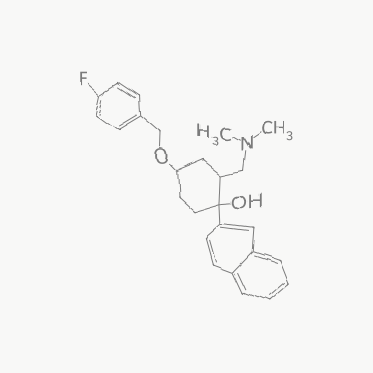 CN(C)CC1CC(OCc2ccc(F)cc2)CCC1(O)c1ccc2ccccc2c1